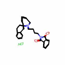 Cl.O=C1c2ccccc2C(=O)N1CCCCN1CCCCC12CCc1ccccc1C2